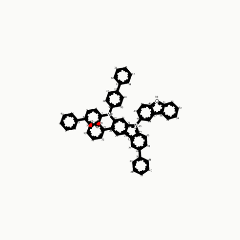 c1ccc(-c2ccc(N(c3ccc(-c4ccccc4)cc3)c3cc4c(cc3-c3ccccc3)c3cc(-c5ccccc5)ccc3n4-c3ccc4oc5ccccc5c4c3)cc2)cc1